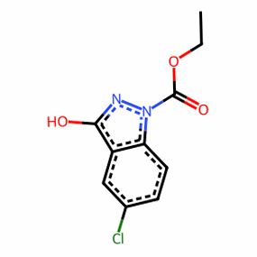 CCOC(=O)n1nc(O)c2cc(Cl)ccc21